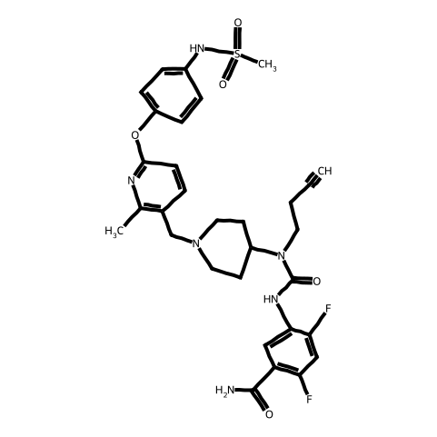 C#CCCN(C(=O)Nc1cc(C(N)=O)c(F)cc1F)C1CCN(Cc2ccc(Oc3ccc(NS(C)(=O)=O)cc3)nc2C)CC1